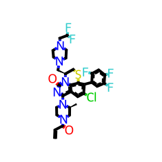 C=CC(=O)N1CCN(c2nc(=O)n3c4c(c(-c5cc(F)c(F)cc5F)c(Cl)cc24)SC[C@@H]3CN2CCN(CC(F)F)CC2)[C@@H](C)C1